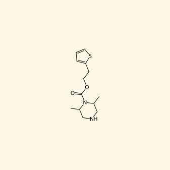 CC1CNCC(C)N1C(=O)OCCc1cccs1